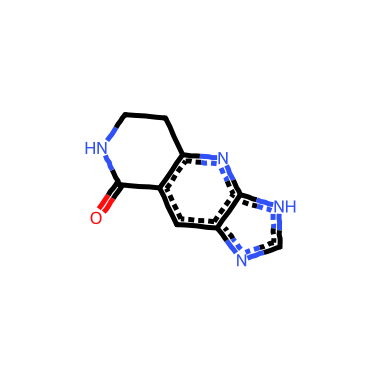 O=C1NCCc2nc3[nH]cnc3cc21